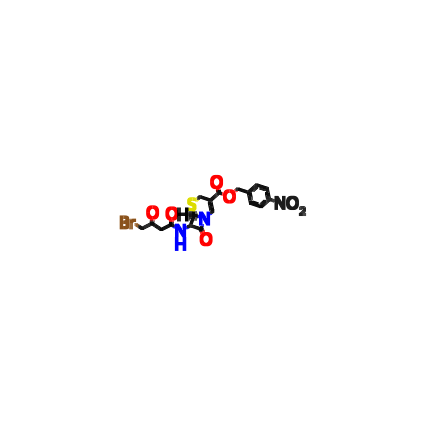 O=C(CBr)CC(=O)NC1C(=O)N2C=C(C(=O)OCc3ccc([N+](=O)[O-])cc3)CS[C@H]12